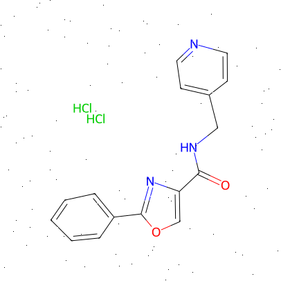 Cl.Cl.O=C(NCc1ccncc1)c1coc(-c2ccccc2)n1